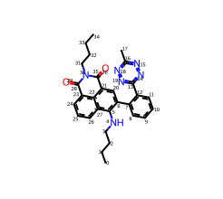 CCCCNc1c(-c2ccccc2-c2nnc(C)nn2)cc2c3c(cccc13)C(=O)N(CCCC)C2=O